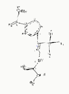 [2H]C([2H])([2H])/C(=N\NC(=O)OC(C)(C)C)c1ccc(C(=O)OC)s1